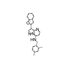 Cc1ccc(CNc2ccnc3c(-c4cc5ccccc5o4)cnn23)c(C)c1